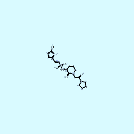 O=C(CN1CCC[C@H](NS(=O)(=O)/C=C/c2ccc(Cl)s2)C1=O)N1CCCC1